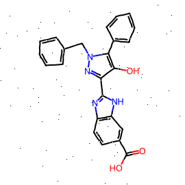 O=C(O)c1ccc2nc(-c3nn(Cc4ccccc4)c(-c4ccccc4)c3O)[nH]c2c1